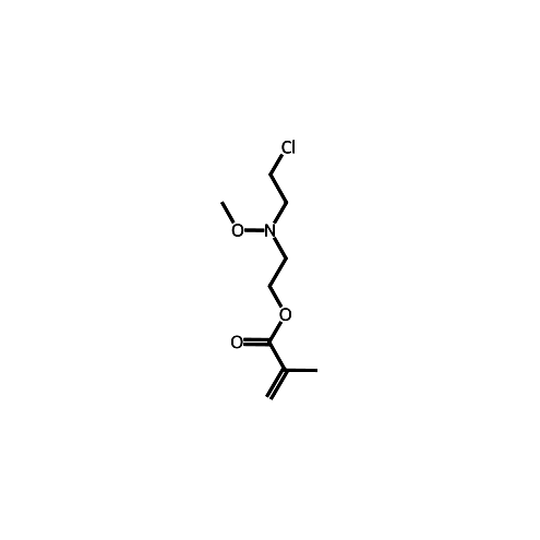 C=C(C)C(=O)OCCN(CCCl)OC